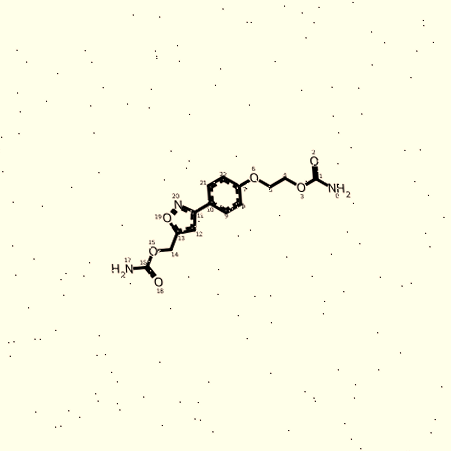 NC(=O)OCCOc1ccc(-c2cc(COC(N)=O)on2)cc1